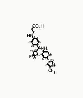 O=C(O)CCNc1ccc(C(Nc2ccc(-n3cnc(C(F)(F)F)c3)nc2)C2CC(F)(F)C2)cc1